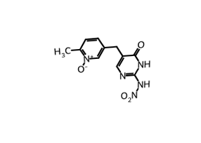 Cc1ccc(Cc2cnc(N[N+](=O)[O-])[nH]c2=O)c[n+]1[O-]